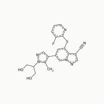 Cc1c(-c2cc(Sc3ncccc3F)c3c(C#N)cnn3c2)cnn1C(CO)CO